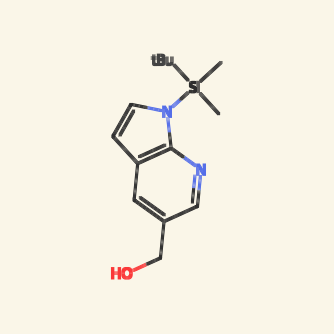 CC(C)(C)[Si](C)(C)n1ccc2cc(CO)cnc21